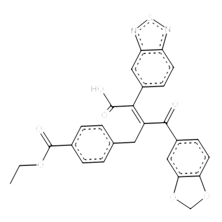 CCOC(=O)c1ccc(CC(C(=O)c2ccc3c(c2)OCO3)=C(C(=O)O)c2ccc3nsnc3c2)cc1